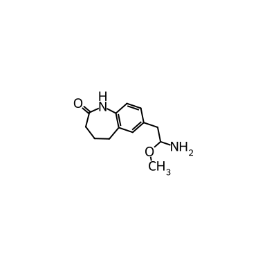 COC(N)Cc1ccc2c(c1)CCCC(=O)N2